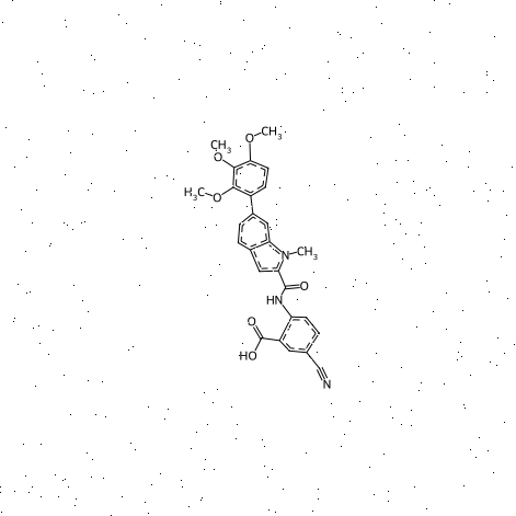 COc1ccc(-c2ccc3cc(C(=O)Nc4ccc(C#N)cc4C(=O)O)n(C)c3c2)c(OC)c1OC